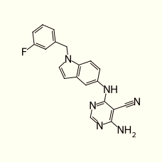 N#Cc1c(N)ncnc1Nc1ccc2c(ccn2Cc2cccc(F)c2)c1